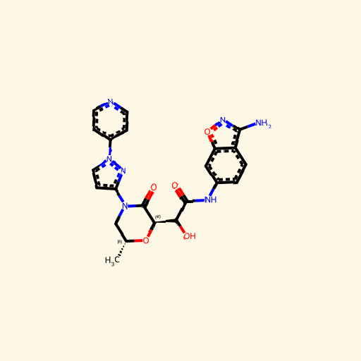 C[C@@H]1CN(c2ccn(-c3ccncc3)n2)C(=O)[C@@H](C(O)C(=O)Nc2ccc3c(N)noc3c2)O1